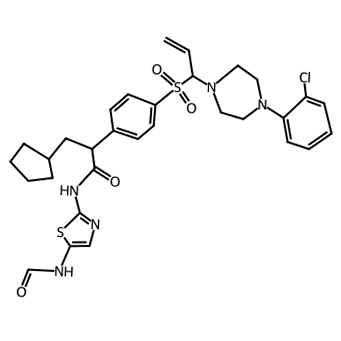 C=CC(N1CCN(c2ccccc2Cl)CC1)S(=O)(=O)c1ccc(C(CC2CCCC2)C(=O)Nc2ncc(NC=O)s2)cc1